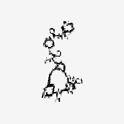 O=C(C[C@@H]1CCN(C(=O)Nc2cccnc2)C1)Nc1ccc2cc1CCc1cncc(c1)Nc1ncc(Cl)c(n1)N2